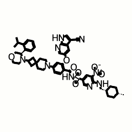 CC(C)c1ccccc1[C@@H]1COCCN1C1CC2(CCN(c3ccc(C(=O)NS(=O)(=O)c4cnc(NC[C@H]5CC[C@@H](C)CC5)c([N+](=O)[O-])c4)c(Oc4cnc5[nH]cc(C#N)c5c4)c3)CC2)C1